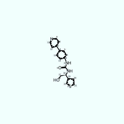 O=C(Nc1ccc(-c2ccncc2)cc1)N[C@H](CO)c1ccsc1